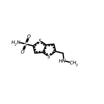 CNCc1cc2sc(S(N)(=O)=O)cc2s1